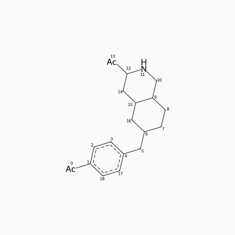 CC(=O)c1ccc(CC2CCC3CNC(C(C)=O)CC3C2)cc1